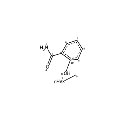 CCCCCCC.NC(=O)c1ccccc1O